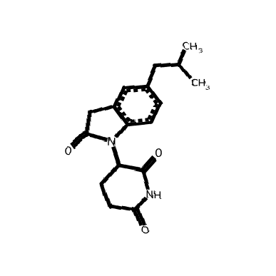 CC(C)Cc1ccc2c(c1)CC(=O)N2C1CCC(=O)NC1=O